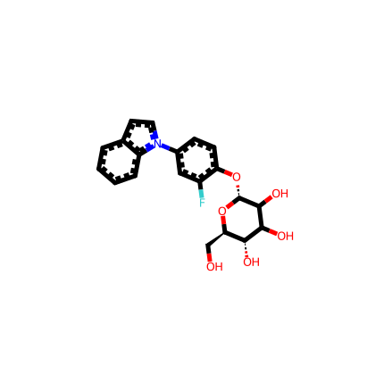 OC[C@H]1O[C@H](Oc2ccc(-n3ccc4ccccc43)cc2F)C(O)C(O)[C@@H]1O